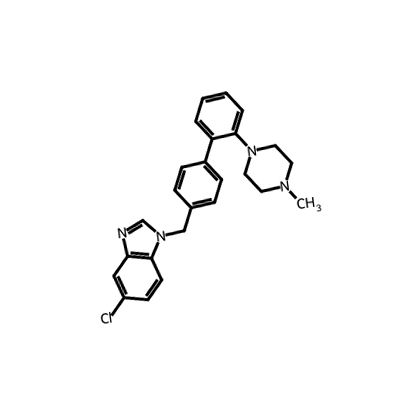 CN1CCN(c2ccccc2-c2ccc(Cn3cnc4cc(Cl)ccc43)cc2)CC1